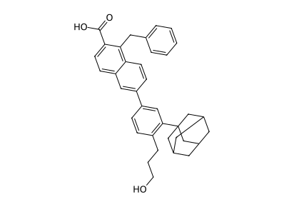 O=C(O)c1ccc2cc(-c3ccc(CCCO)c(C45CC6CC(CC(C6)C4)C5)c3)ccc2c1Cc1ccccc1